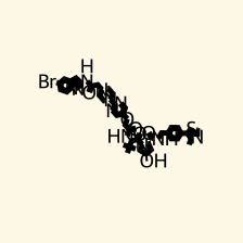 Cc1ncsc1-c1ccc(CNC(=O)[C@@H]2C[C@@H](O)CN2C(=O)[C@@H](NC(=O)COc2cnc(N3CCN(CC(=O)Nc4cc5cc(Br)ccn5n4)CC3)nc2)C(C)(C)C)cc1